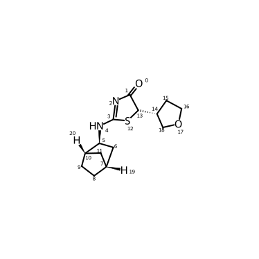 O=C1N=C(N[C@H]2C[C@@H]3CC[C@H]2C3)SC1[C@@H]1CCOC1